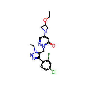 CCOC1CN(c2cnn(Cc3c(-c4ccc(Cl)cc4F)nnn3CC)c(=O)c2)C1